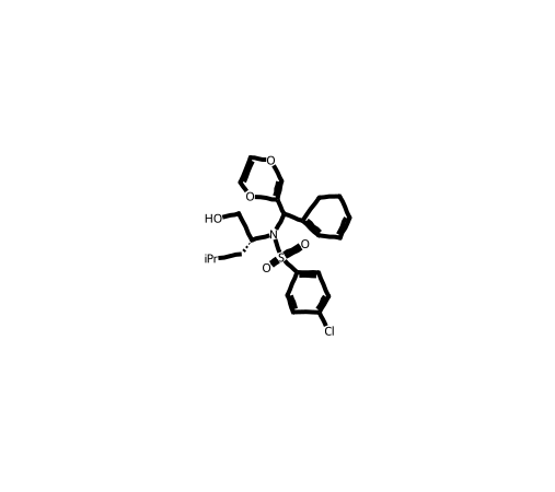 CC(C)C[C@H](CO)N(C(C1=CC=CCC1)C1=COC=CO1)S(=O)(=O)c1ccc(Cl)cc1